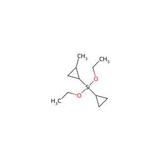 CCO[Si](OCC)(C1CC1)C1CC1C